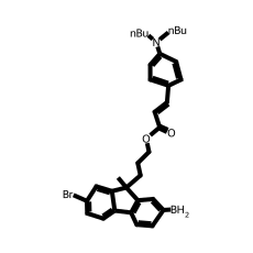 Bc1ccc2c(c1)C(C)(CCCOC(=O)/C=C/c1ccc(N(CCCC)CCCC)cc1)c1cc(Br)ccc1-2